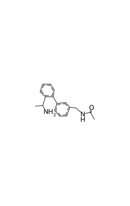 CC(=O)NCc1cccc(-c2ccccc2C(C)N)c1